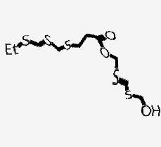 CCSCSCSCCC(=O)OCSCSCO